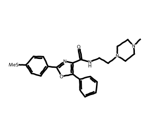 CSc1ccc(-c2nc(C(=O)NCCN3CCN(C)CC3)c(-c3ccccc3)o2)cc1